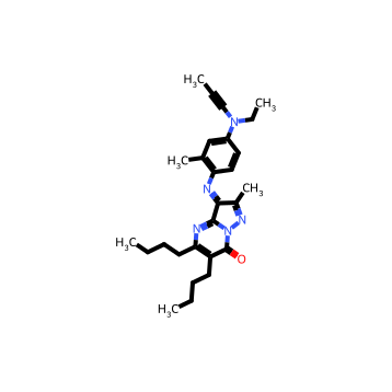 CC#CN(CC)c1ccc(N=C2C(C)=Nn3c2nc(CCCC)c(CCCC)c3=O)c(C)c1